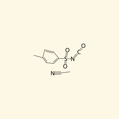 CC#N.Cc1ccc(S(=O)(=O)N=C=O)cc1